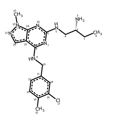 CC[C@@H](N)CNc1nc(NCc2ccc(C)c(Cl)c2)c2cnn(C)c2n1